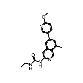 CCNC(=O)Nc1cc2cc(-c3ccc(OC)nc3)cc(C)c2cn1